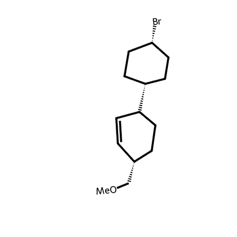 COC[C@@H]1C=CC([C@H]2CC[C@@H](Br)CC2)CC1